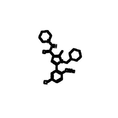 COc1ccc(Cl)cc1-c1cc(C(=O)NN2CCCCC2)c(C)n1CC1CCCCC1